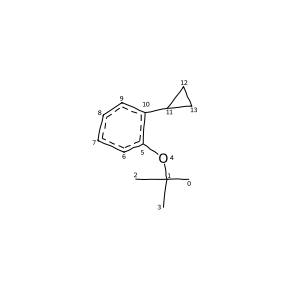 CC(C)(C)Oc1ccccc1C1CC1